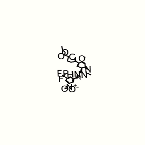 CCOC(=O)C1CC=C(c2cc3c(N[C@H](C)c4cc([N+](=O)[O-])cc(C(F)(F)F)c4)nc(C)nc3cc2OC)CC1